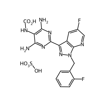 Nc1nc(-c2nn(Cc3ccccc3F)c3ncc(F)cc23)nc(N)c1NC(=O)O.O=S(=O)(O)O